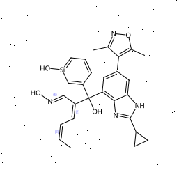 C\C=C/C=C(\C=N\O)C(O)(c1ccc[si](O)c1)c1cc(-c2c(C)noc2C)cc2[nH]c(C3CC3)nc12